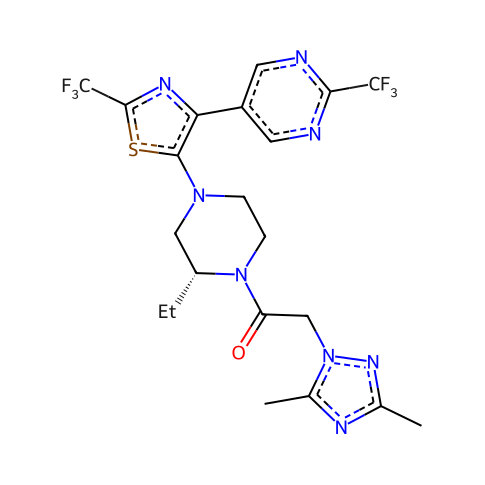 CC[C@@H]1CN(c2sc(C(F)(F)F)nc2-c2cnc(C(F)(F)F)nc2)CCN1C(=O)Cn1nc(C)nc1C